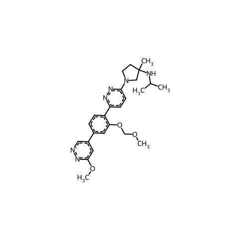 COCOc1cc(-c2cnnc(OC)c2)ccc1-c1ccc(N2CCC(C)(NC(C)C)C2)nn1